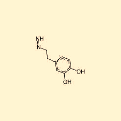 N=NCCc1ccc(O)c(O)c1